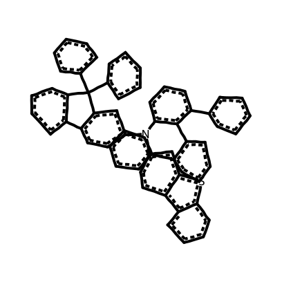 c1ccc(-c2ccccc2-c2c(-c3ccccc3)cccc2N(c2ccc3c(c2)C(c2ccccc2)(c2ccccc2)c2ccccc2-3)c2ccc3c(c2)sc2ccccc23)cc1